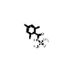 Cc1cc(C)c(C(=O)NP(N)(N)=O)c(C)c1